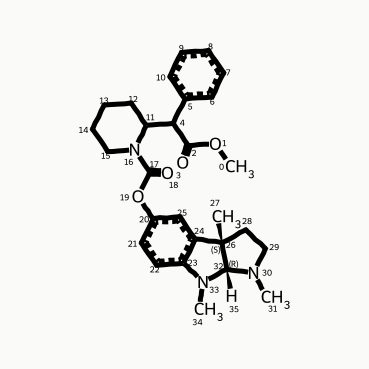 COC(=O)C(c1ccccc1)C1CCCCN1C(=O)Oc1ccc2c(c1)[C@]1(C)CCN(C)[C@@H]1N2C